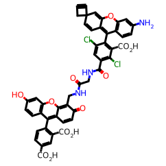 Nc1ccc2c(c1)OC1=CC3(C#CC3)C=CC1=C2c1c(Cl)cc(C(=O)NCC(=O)NCc2c3oc4cc(O)ccc4c(-c4ccc(C(=O)O)cc4C(=O)O)c-3ccc2=O)c(Cl)c1C(=O)O